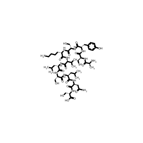 CC(C)C[C@H](NC(=O)[C@H](CO)NC(=O)[C@H](CC(C)C)NC(=O)[C@@H](NC(=O)[C@H](CCCCN)NC(=O)[C@H](CS)NC(=O)[C@H](Cc1ccc(O)cc1)NC(=O)[C@H](CS)NC(=O)[C@H](C)N)C(C)C)C(=O)N[C@@H](CC(N)=O)C(=O)N[C@@H](CS)C(=O)O